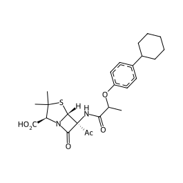 CC(=O)[C@]1(NC(=O)C(C)Oc2ccc(C3CCCCC3)cc2)C(=O)N2[C@@H](C(=O)O)C(C)(C)S[C@@H]21